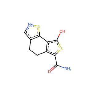 NC(=O)c1sc(O)c2c1CCc1cnsc1-2